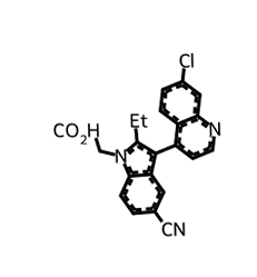 CCc1c(-c2ccnc3cc(Cl)ccc23)c2cc(C#N)ccc2n1CC(=O)O